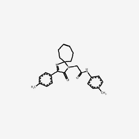 Cc1ccc(NC(=O)CN2C(=O)C(c3ccc(C)cc3)=NC23CCCCCC3)cc1